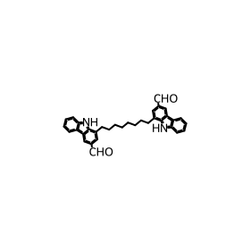 O=Cc1cc(CCCCCCCCc2cc(C=O)cc3c2[nH]c2ccccc23)c2[nH]c3ccccc3c2c1